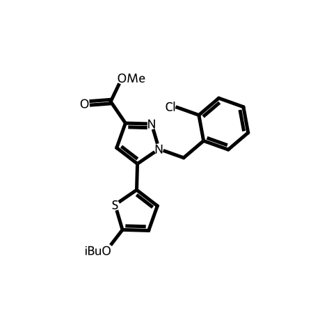 COC(=O)c1cc(-c2ccc(OCC(C)C)s2)n(Cc2ccccc2Cl)n1